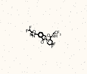 O=C(NCC(F)(F)F)C1CC(F)(F)CCN1N1Cc2ccc(-c3nnc(C(F)F)o3)cc2C1=O